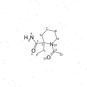 CCC1(C(N)=O)CCCCN1C(C)=O